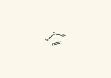 CC(=O)OC(C)C.O=S